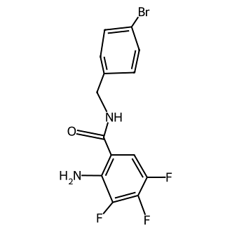 Nc1c(C(=O)NCc2ccc(Br)cc2)cc(F)c(F)c1F